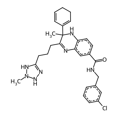 CN1NN=C(CCCC2=Nc3cc(C(=O)NCc4cccc(Cl)c4)ccc3NC2(C)C2=CCCC=C2)N1